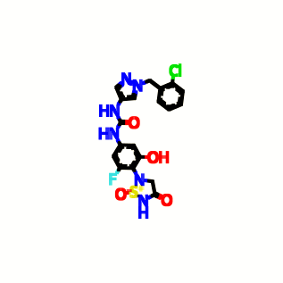 O=C1CN(c2c(O)cc(NC(=O)Nc3cnn(Cc4ccccc4Cl)c3)cc2F)[S+]([O-])N1